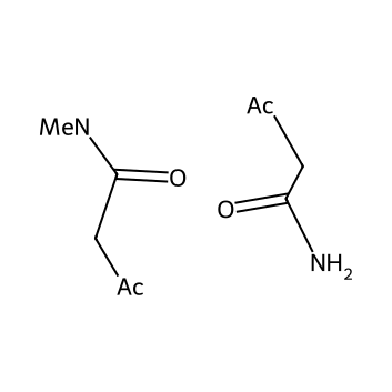 CC(=O)CC(N)=O.CNC(=O)CC(C)=O